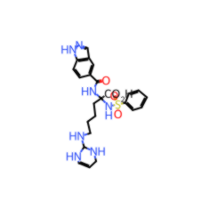 O=C(NC(CCCCNC1NC=CCN1)(NS(=O)(=O)c1ccccc1)C(=O)O)c1ccc2[nH]ncc2c1